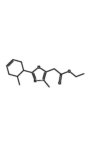 CCOC(=O)Cc1oc(C2CC=CCC2C)nc1C